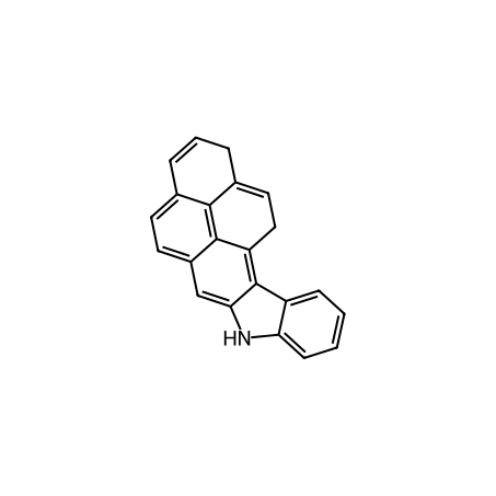 C1=Cc2ccc3cc4[nH]c5ccccc5c4c4c3c2C(=CC4)C1